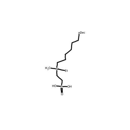 CCCCCCCCCCCCCCCC[N+](C)(CC)CCP(=O)(O)O